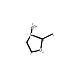 CCCN1CCOC1C